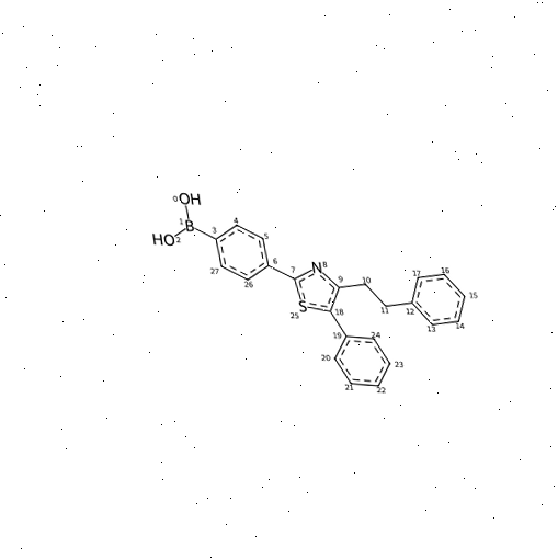 OB(O)c1ccc(-c2nc(CCc3ccccc3)c(-c3ccccc3)s2)cc1